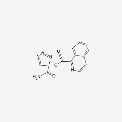 NC(=O)C1(OC(=O)c2nccc3ccccc23)C=NN=N1